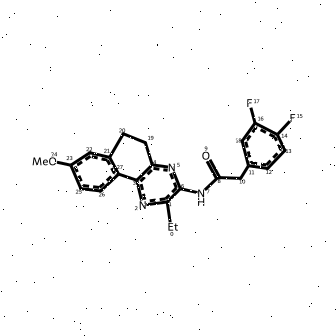 CCc1nc2c(nc1NC(=O)Cc1ccc(F)c(F)c1)CCc1cc(OC)ccc1-2